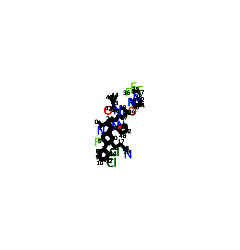 Cc1nc2c(F)c(-c3cccc(Cl)c3Cl)c(CCC#N)cc2c2c1cc(C1CC(Oc3ccn(C(F)(F)F)n3)CN1C(=O)C1CC1)n2C1C2CNC1C2